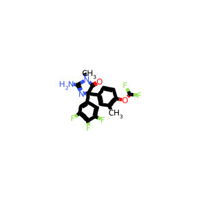 Cc1cc(C2(c3cc(F)c(F)c(F)c3)N=C(N)N(C)C2=O)ccc1OC(F)F